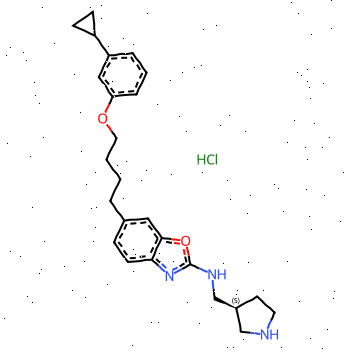 Cl.c1cc(OCCCCc2ccc3nc(NC[C@H]4CCNC4)oc3c2)cc(C2CC2)c1